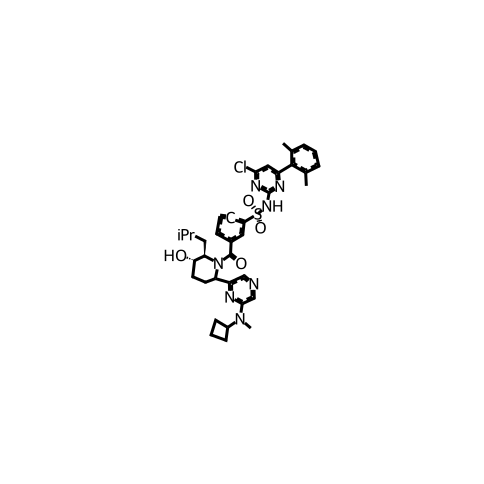 Cc1cccc(C)c1-c1cc(Cl)nc(NS(=O)(=O)c2cccc(C(=O)N3C(c4cncc(N(C)C5CCC5)n4)CC[C@H](O)[C@H]3CC(C)C)c2)n1